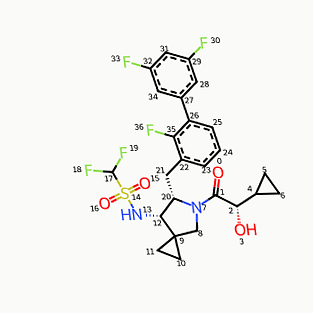 O=C([C@@H](O)C1CC1)N1CC2(CC2)[C@H](NS(=O)(=O)C(F)F)[C@@H]1Cc1cccc(-c2cc(F)cc(F)c2)c1F